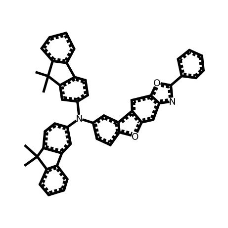 CC1(C)c2ccccc2-c2cc(N(c3ccc4c(c3)C(C)(C)c3ccccc3-4)c3ccc4oc5cc6nc(-c7ccccc7)oc6cc5c4c3)ccc21